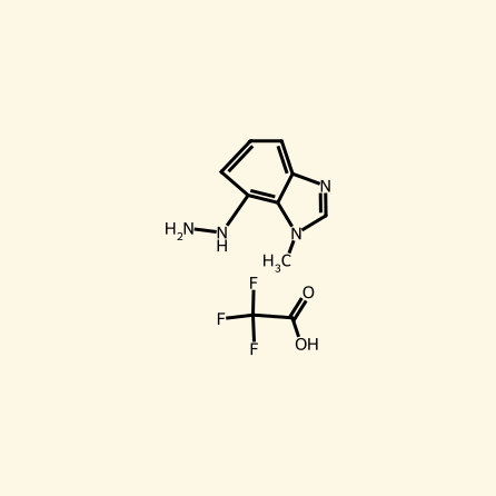 Cn1cnc2cccc(NN)c21.O=C(O)C(F)(F)F